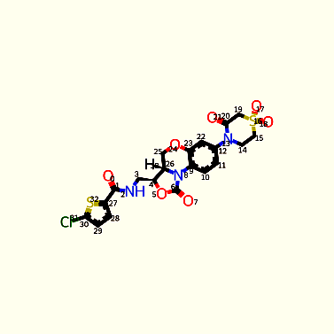 O=C(NC[C@@H]1OC(=O)N2c3ccc(N4CCS(=O)(=O)CC4=O)cc3OC[C@@H]12)c1ccc(Cl)s1